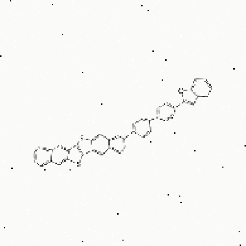 c1ccc2cc3c(cc2c1)sc1c2cc4ccc(-c5ccc(-c6ccc(-c7cc8ccccc8o7)cc6)cc5)cc4cc2sc31